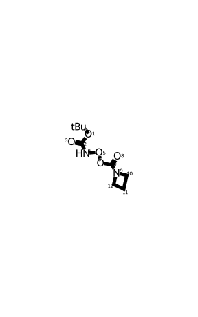 CC(C)(C)OC(=O)NOOC(=O)N1CCC1